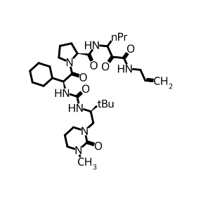 C=CCNC(=O)C(=O)C(CCC)NC(=O)[C@@H]1CCCN1C(=O)[C@@H](NC(=O)N[C@H](CN1CCCN(C)C1=O)C(C)(C)C)C1CCCCC1